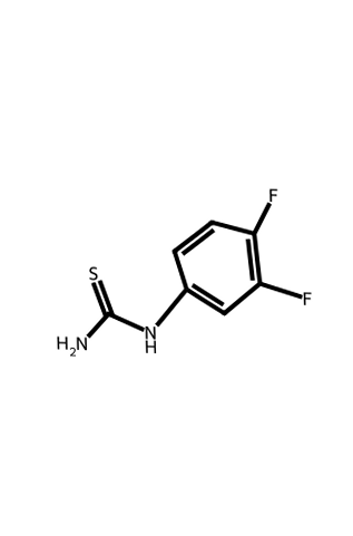 NC(=S)Nc1ccc(F)c(F)c1